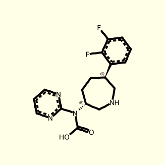 O=C(O)N(c1ncccn1)[C@@H]1CC[C@@H](c2cccc(F)c2F)CNC1